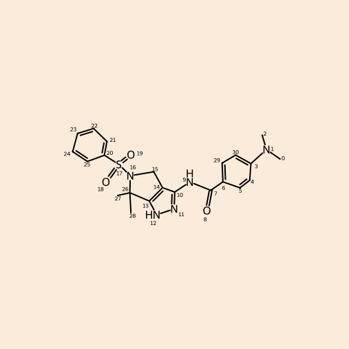 CN(C)c1ccc(C(=O)Nc2n[nH]c3c2CN(S(=O)(=O)c2ccccc2)C3(C)C)cc1